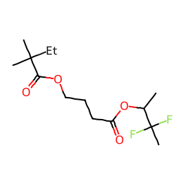 CCC(C)(C)C(=O)OCCCC(=O)OC(C)C(C)(F)F